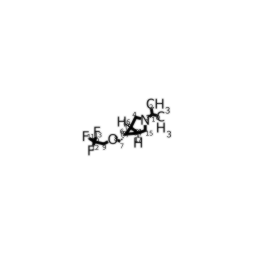 CC(C)N1C[C@@H]2[C@@H](COCC(F)(F)F)[C@@H]2C1